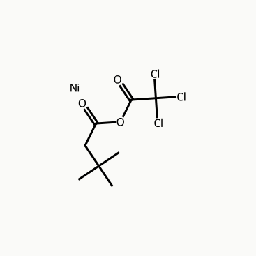 CC(C)(C)CC(=O)OC(=O)C(Cl)(Cl)Cl.[Ni]